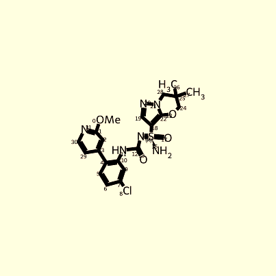 COc1cc(-c2ccc(Cl)cc2NC(=O)N=[S@@](N)(=O)c2cnn3c2OCC(C)(C)C3)ccn1